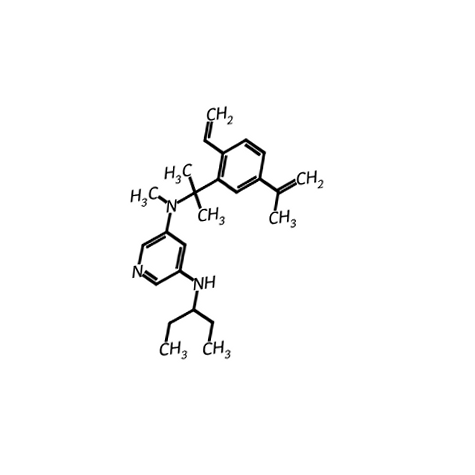 C=Cc1ccc(C(=C)C)cc1C(C)(C)N(C)c1cncc(NC(CC)CC)c1